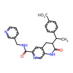 CC(c1ccc(C(=O)O)cc1)C1Cc2cc(C(=O)NCc3cccnc3)ncc2NC1=O